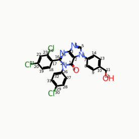 O=c1c2c(ncn2-c2ccc(CO)cc2)nc(-c2ccc(Cl)cc2Cl)n1-c1ccc(Cl)cc1